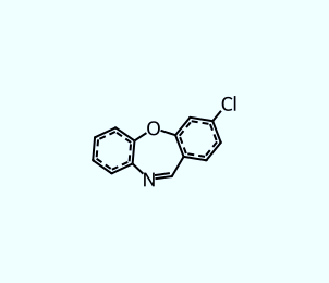 Clc1ccc2c(c1)Oc1ccccc1N=C2